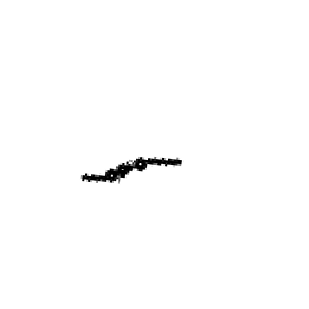 CCCCCCCCCC[C@H]1CC[C@H](COc2ccc(-c3ccc(CCCCCCC)cc3)c(F)c2)CC1